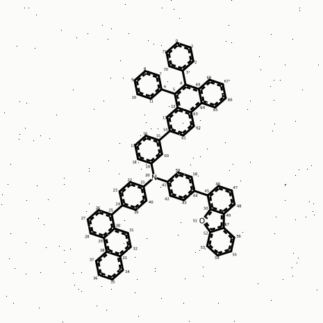 c1ccc(-c2c(-c3ccccc3)c3cc(-c4cccc(N(c5ccc(-c6cccc7c6ccc6ccccc67)cc5)c5ccc(-c6cccc7c6oc6ccccc67)cc5)c4)ccc3c3ccccc23)cc1